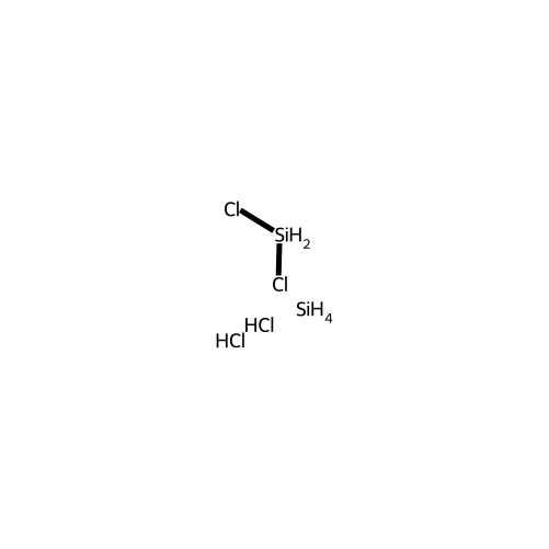 Cl.Cl.Cl[SiH2]Cl.[SiH4]